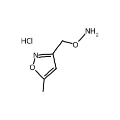 Cc1cc(CON)no1.Cl